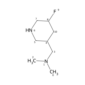 CN(C)CC1CNCC(F)C1